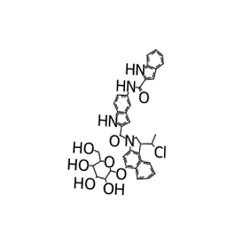 CC(Cl)C1CN(C(=O)c2cc3cc(NC(=O)c4cc5ccccc5[nH]4)ccc3[nH]2)c2cc(OC3OC(CO)C(O)C(O)C3O)c3ccccc3c21